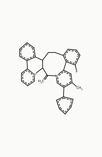 C=C1C2C(CCc3cccc(F)c3-c3cc(C)c(-c4ccccc4)c[n+]31)c1ccccc1-c1cccc[n+]12